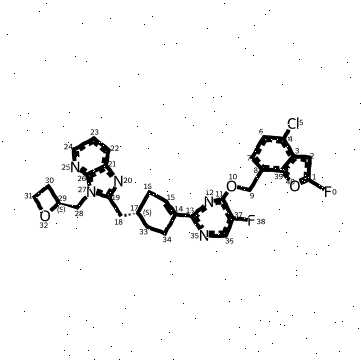 Fc1cc2c(Cl)ccc(COc3nc(C4=CC[C@@H](Cc5nc6cccnc6n5C[C@@H]5CCO5)CC4)ncc3F)c2o1